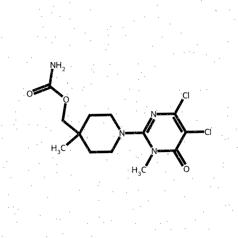 Cn1c(N2CCC(C)(COC(N)=O)CC2)nc(Cl)c(Cl)c1=O